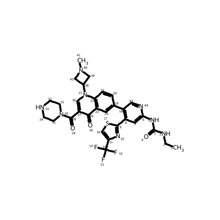 CCNC(=O)Nc1cc(-c2nc(C(F)(F)F)cs2)c(-c2ccc3c(c2)c(=O)c(C(=O)N2CCNCC2)cn3C2CN(C)C2)cn1